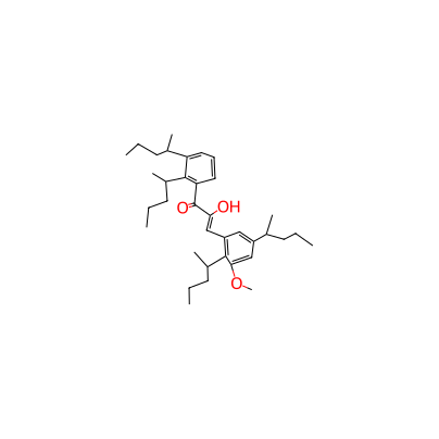 CCCC(C)c1cc(C=C(O)C(=O)c2cccc(C(C)CCC)c2C(C)CCC)c(C(C)CCC)c(OC)c1